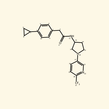 O=C(Cc1ccc(C2CC2)cc1)NC1CCN(c2ccc(C(F)(F)F)nc2)C1